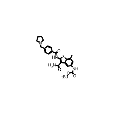 Cc1cc(NC(=O)OC(C)(C)C)cc2c(C(N)=O)c(NC(=O)c3ccc(CN4CCCC4)cc3)sc12